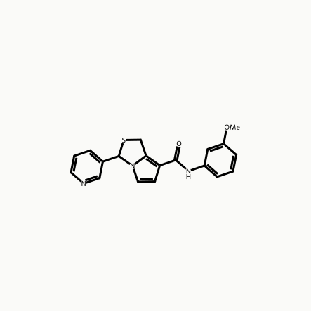 COc1cccc(NC(=O)c2ccn3c2CSC3c2cccnc2)c1